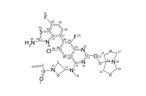 C=CC(=O)N1CC(N(C)c2nc(OCC34CCCN3CCC4)nc3c(F)c(-c4ccc(F)c5sc(N)nc45)c(Cl)cc23)C1